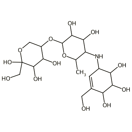 CC1OC(OC2COC(O)(CO)C(O)C2O)C(O)C(O)C1NC1C=C(CO)C(O)C(O)C1O